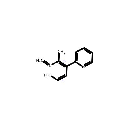 C=N/C(C)=C(\C=C/C)c1ccccn1